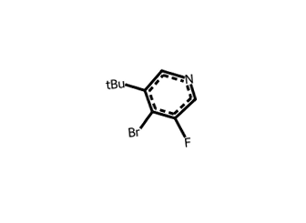 CC(C)(C)c1cncc(F)c1Br